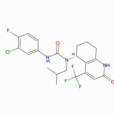 CC(C)CN(C(=O)Nc1ccc(F)c(Cl)c1)[C@@H]1CCCc2[nH]c(=O)cc(C(F)(F)F)c21